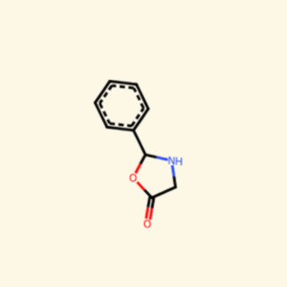 O=C1CNC(c2ccccc2)O1